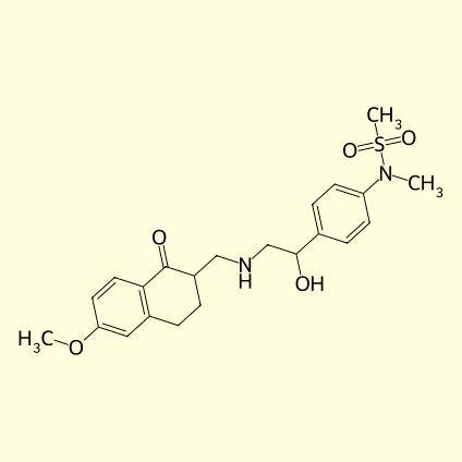 COc1ccc2c(c1)CCC(CNCC(O)c1ccc(N(C)S(C)(=O)=O)cc1)C2=O